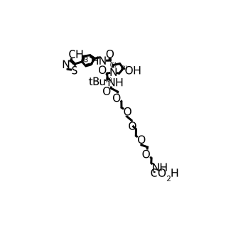 Cc1ncsc1-c1ccc(CNC(=O)[C@@H]2C[C@@H](O)CN2C(=O)[C@@H](NC(=O)COCCOCCOCCOCCOCCNC(=O)O)C(C)(C)C)cc1